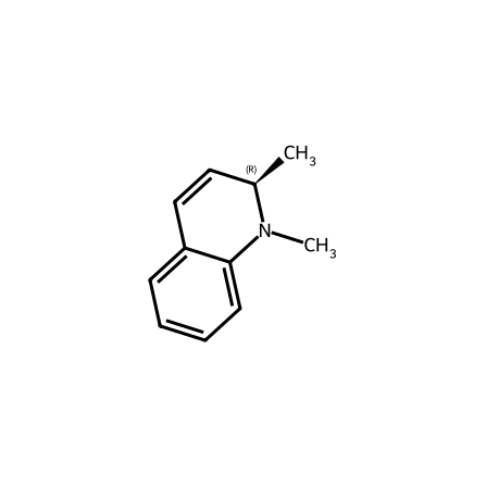 C[C@@H]1C=Cc2ccccc2N1C